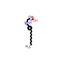 CCCCCCCCCCc1ccc(-c2noc(CC(C)NC(=O)O)n2)cc1